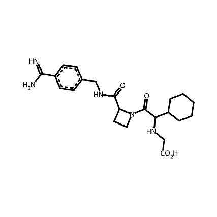 N=C(N)c1ccc(CNC(=O)C2CCN2C(=O)C(NCC(=O)O)C2CCCCC2)cc1